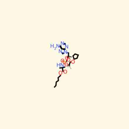 CCCCCCOC(=O)C(C)(C)NP(=O)(CO[C@H](C)Cn1cnc2c(N)ncnc21)O[C@@H](C)C(=O)OC1CCCC1